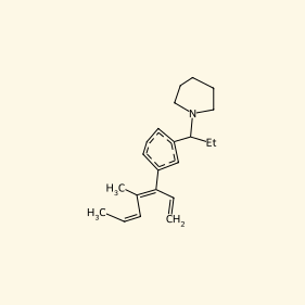 C=C/C(=C(C)\C=C/C)c1cccc(C(CC)N2CCCCC2)c1